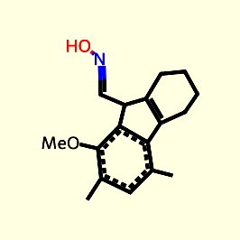 COc1c(C)cc(C)c2c1C(C=NO)C1=C2CCCC1